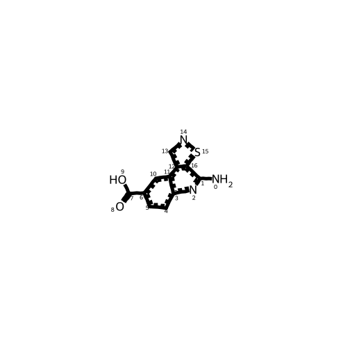 Nc1nc2ccc(C(=O)O)cc2c2cnsc12